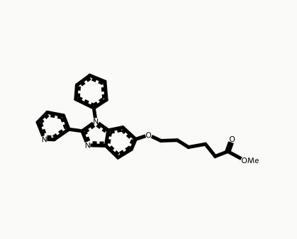 COC(=O)CCCCCOc1ccc2nc(-c3cccnc3)n(-c3ccccc3)c2c1